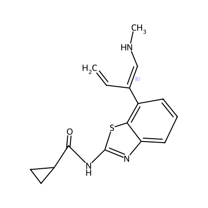 C=C/C(=C\NC)c1cccc2nc(NC(=O)C3CC3)sc12